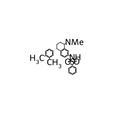 CNC1CC[C@@H](c2ccc(C)c(C)c2)c2ccc(NS(=O)(=O)c3ccccc3)cc21